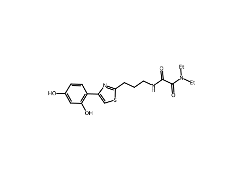 CCN(CC)C(=O)C(=O)NCCCc1nc(-c2ccc(O)cc2O)cs1